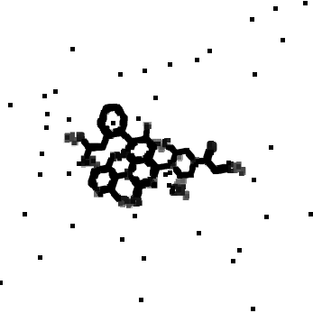 BC(B)=Cc1ccccc1-c1nc2c(cc1F)c(N1[C@@H](C)CN(C(=O)C=C)C[C@@H]1C)nc(=O)n2-c1c(C(C)C)ccnc1C(C)C